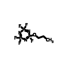 CCCOP1(F)=NP(F)(F)=NP(F)(F)=N1